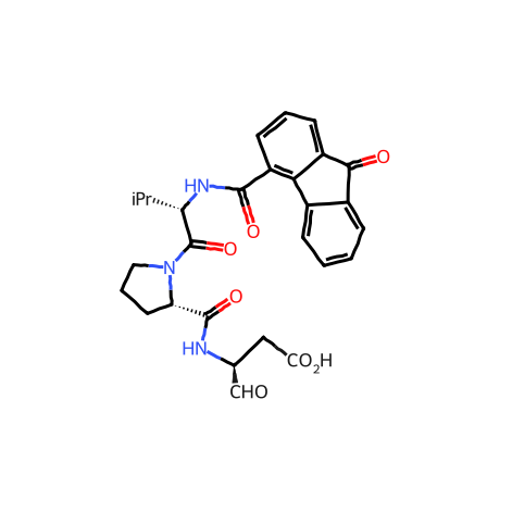 CC(C)[C@H](NC(=O)c1cccc2c1-c1ccccc1C2=O)C(=O)N1CCC[C@H]1C(=O)N[C@H](C=O)CC(=O)O